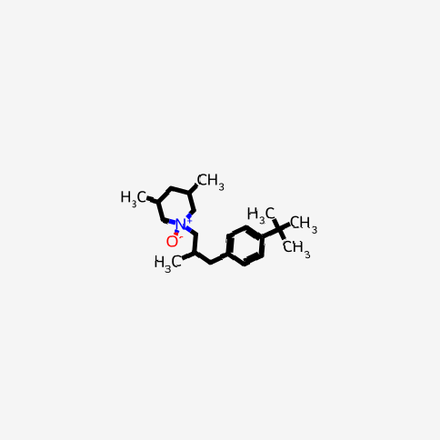 CC(Cc1ccc(C(C)(C)C)cc1)C[N+]1([O-])CC(C)CC(C)C1